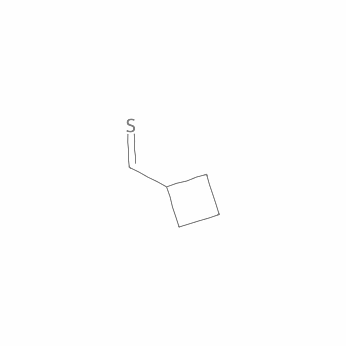 S=CC1CCC1